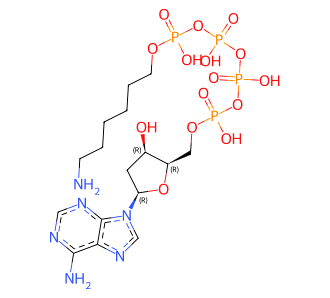 NCCCCCCOP(=O)(O)OP(=O)(O)OP(=O)(O)OP(=O)(O)OC[C@H]1O[C@@H](n2cnc3c(N)ncnc32)C[C@H]1O